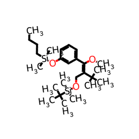 CCCC[Si](C)(C)Oc1cccc(C(OC)=C(CO[Si](C)(C)C(C)(C)C)C(C)(C)C)c1